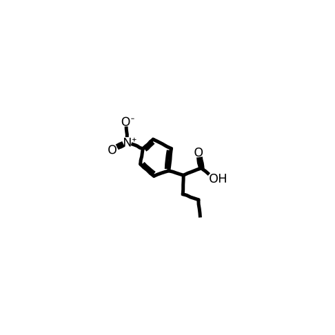 CCCC(C(=O)O)c1ccc([N+](=O)[O-])cc1